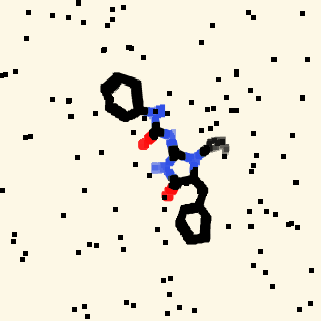 CN1C(=NC(=O)Nc2ccccc2)NC(=O)C1Cc1ccccc1